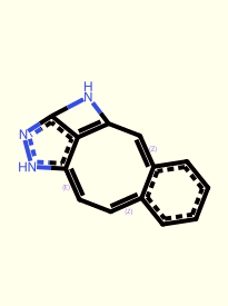 C1=c2/cccc/c2=C/C2=c3c(n[nH]/c3=C/1)N2